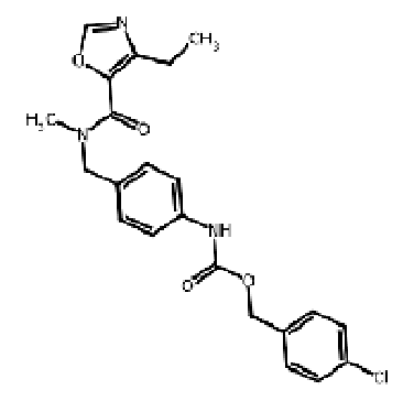 CCc1ncoc1C(=O)N(C)Cc1ccc(NC(=O)OCc2ccc(Cl)cc2)cc1